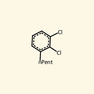 CCCCCc1cccc(Cl)c1Cl